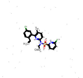 C=Cc1ccc(F)cc1-c1nc(N(COC)S(=O)(=O)c2cccc(F)n2)ccc1C(F)(F)F